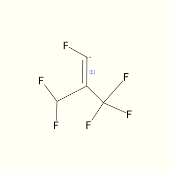 F/[C]=C(\C(F)F)C(F)(F)F